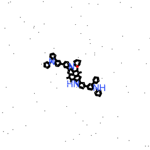 CC1c2cc3c4cc(-c5ccc6c(c5)c5ccccc5n6-c5ccccc5)ccc4n(-c4ccccc4)c3c3c2-c2c(cc4c([nH]c5ccc(-c6ccc(Nc7ccccc7)c(-c7ccccc7)c6)cc54)c2C1C)C(C)C3C